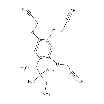 C#CCOc1cc(OCC#C)c(C(C)C(C)(C)CC)cc1OCC#C